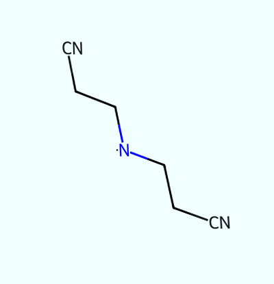 N#CCC[N]CCC#N